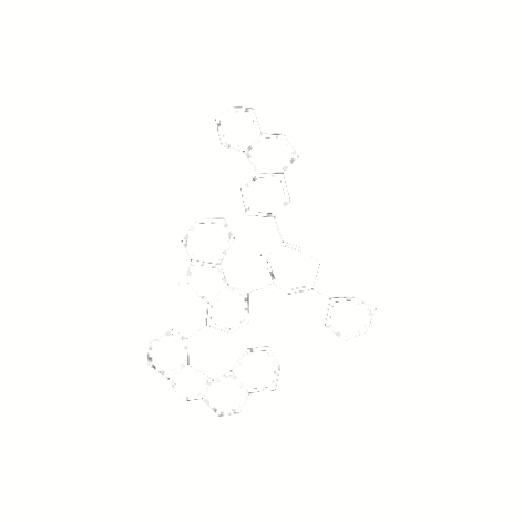 C1=C(c2ccccc2)CC=C(c2ccc3c(ccc4ccccc43)c2)N=C1c1ccc(-c2cccc3sc4ccc5ccccc5c4c23)c2oc3ccccc3c12